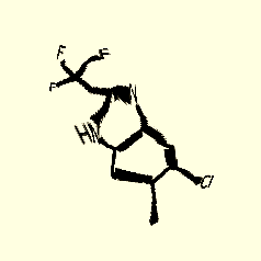 Cc1cc2[nH]c(C(F)(F)F)nc2cc1Cl